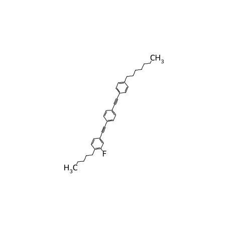 CCCCCCCc1ccc(C#Cc2ccc(C#Cc3ccc(CCCCC)c(F)c3)cc2)cc1